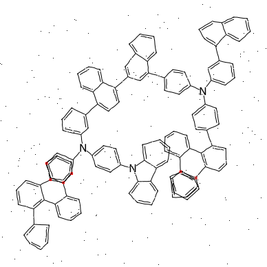 c1ccc(-c2ccccc2-c2c(-c3ccccc3)cccc2-c2ccc(N(c3ccc(-c4cc(-c5ccc(-c6cccc(N(c7ccc(-c8cccc(-c9ccccc9)c8-c8ccccc8-c8ccccc8)cc7)c7ccc(-n8c9ccccc9c9ccccc98)cc7)c6)c6ccccc56)cc5ccccc45)cc3)c3cccc(-c4cccc5ccccc45)c3)cc2)cc1